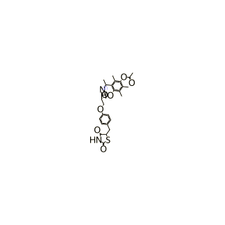 CC(=O)Oc1c(C)c(C)c(O)c(/C(C)=N\OCCOc2ccc(CC3SC(=O)NC3=O)cc2)c1C